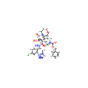 Cc1ncnn1-c1cc(F)ccc1CNC(=O)C1=C(O)C(=O)N2CCCOC=C2C12CCN(C(=O)OCc1ccccc1)CC2